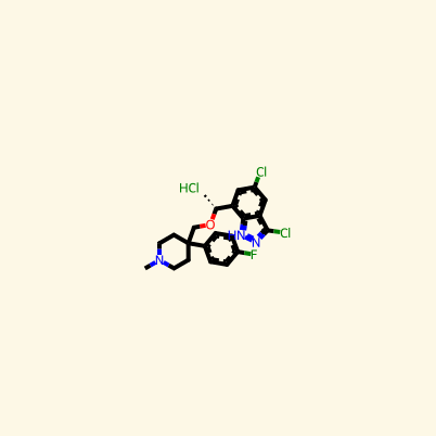 C[C@@H](OCC1(c2ccc(F)cc2)CCN(C)CC1)c1cc(Cl)cc2c(Cl)n[nH]c12.Cl